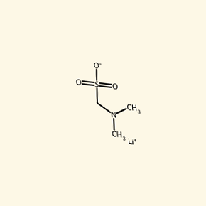 CN(C)CS(=O)(=O)[O-].[Li+]